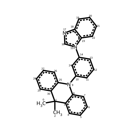 CC1(C)c2ccccc2N(c2cccc(-n3cnc4ccccc43)c2)c2ccccc21